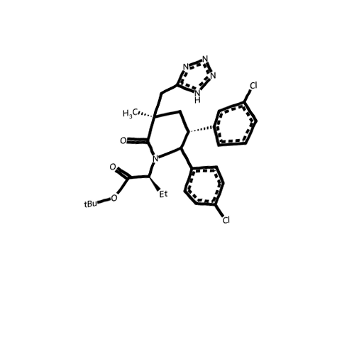 CC[C@@H](C(=O)OC(C)(C)C)N1C(=O)[C@@](C)(Cc2nnn[nH]2)C[C@H](c2cccc(Cl)c2)C1c1ccc(Cl)cc1